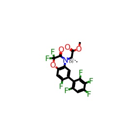 COC(=O)[C@H](C)N1C(=O)C(F)(F)Oc2cc(F)c(-c3c(F)cc(F)c(F)c3F)cc21